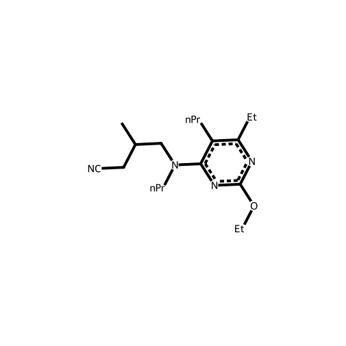 CCCc1c(CC)nc(OCC)nc1N(CCC)CC(C)CC#N